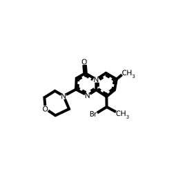 Cc1cc(C(C)Br)c2nc(N3CCOCC3)cc(=O)n2c1